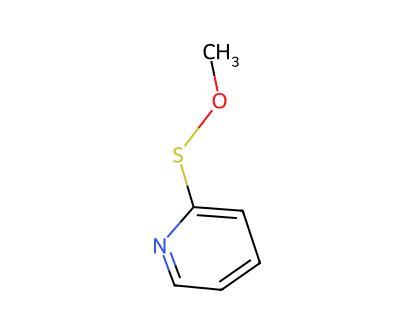 COSc1ccccn1